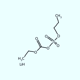 CCCOS(=O)(=O)OC(=O)OCC.[LiH]